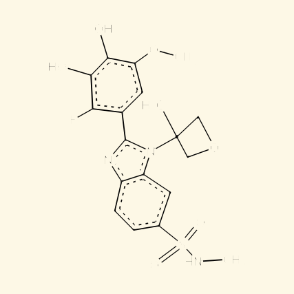 CNS(=O)(=O)c1ccc2nc(-c3cc(OC)c(O)c(O)c3F)n(C3(C)COC3)c2c1